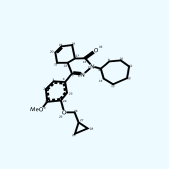 COc1ccc(C2=NN(C3CCCCCC3)C(=O)C3CC=CCC23)cc1OCC1CC1